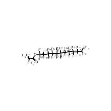 C=C(C)C(=O)OC(F)(F)C(F)(F)C(F)(F)C(F)(F)C(F)(F)C(F)(F)C(F)(F)C(F)(F)C(F)(F)C(F)(F)C(C)F